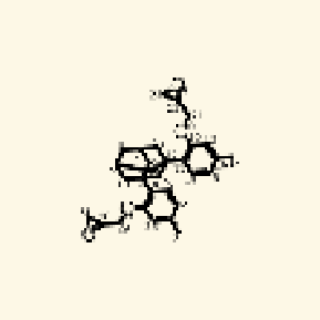 Cc1ccc(C23CC4CC(C2)CC(c2ccc(C)cc2OCC2CO2)(C4)C3)c(OCC2CO2)c1